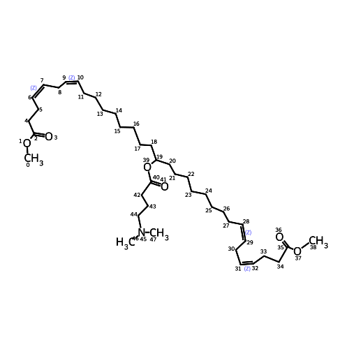 COC(=O)CC/C=C\C/C=C\CCCCCCCCC(CCCCCCCC/C=C\C/C=C\CCC(=O)OC)OC(=O)CCCN(C)C